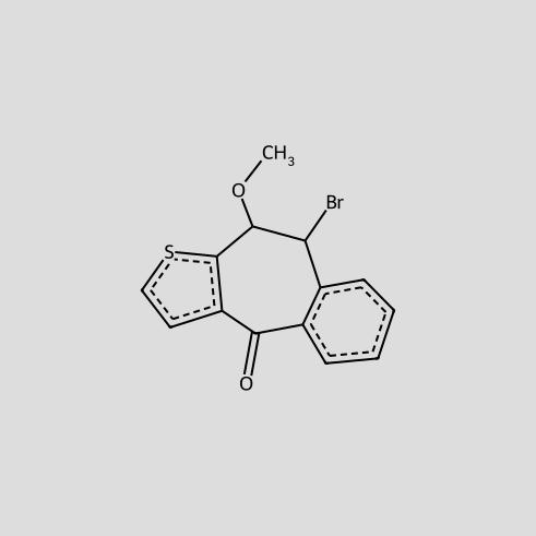 COC1c2sccc2C(=O)c2ccccc2C1Br